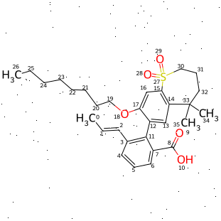 CC=Cc1cccc(C(=O)O)c1-c1cc2c(cc1OCCCCCCCC)S(=O)(=O)CCCC2(C)C